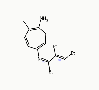 CC/C=C(CC)/C(CC)=N\C1=CCC(N)=C(C)C=C1